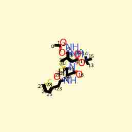 CC(=O)OC(N)(N)C1=C(C(=O)OC(C)(C)C)N2C(=O)[C@H](NC(=O)Cc3cccs3)[C@H]2SC1